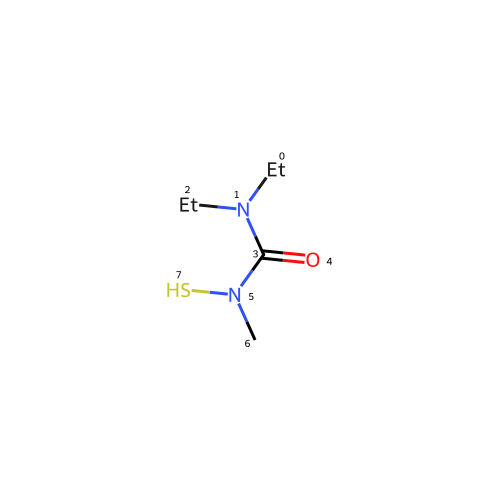 CCN(CC)C(=O)N(C)S